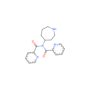 O=C(c1ccccn1)N(C(=O)c1ccccn1)C1CCCNCC1